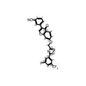 N#Cc1cccc(-c2coc3cc(OCc4noc(-c5cc(F)cc(C(F)(F)F)c5)n4)ccc3c2=O)c1